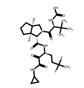 CC(F)(F)CC[C@H](NC(=O)[C@@H]1[C@H]2CCC[C@H]2CN1C(=O)[C@@H](NC(=O)O)C(C)(C)C)C(=O)C(=O)NC1CC1